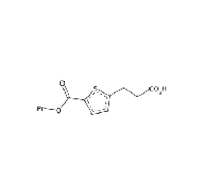 CC(C)OC(=O)c1ccc(CCC(=O)O)s1